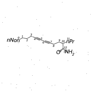 CCCCCCCCCCCCC#CC#CCCC(CCC)C(N)=O